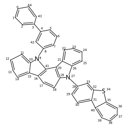 c1ccc(-c2cccc(-n3c4ccccc4c4ccc5c(c6ccccc6n5-c5ccc6c(c5)sc5ccccc56)c43)c2)cc1